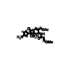 CON=CC(=O)NC1S[C@@H]2N(C=C1COC(C)=O)C(=O)C2(C(=O)O)c1nc(N)cs1